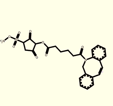 NOS(=O)(=O)C1CC(=O)C(OC(=O)CCCCC(=O)N2Cc3ccccc3/C=C\c3ccccc32)C1=O